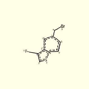 Fc1csc2ccc(CBr)cc12